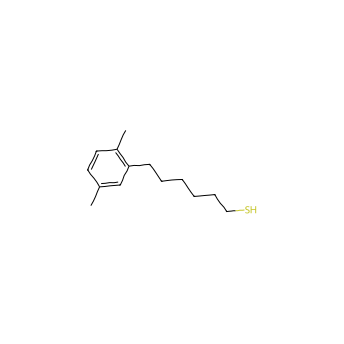 Cc1ccc(C)c(CCCCCCS)c1